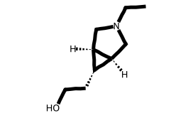 CCN1C[C@@H]2[C@@H](CCO)[C@@H]2C1